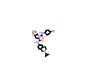 CO[C@@H]1C[C@H](C(=O)Nc2ccc3c(c2)CCN(C2CC2)C3)N(C(=O)Nc2ccc(Br)cc2)C1